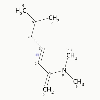 C=C(/C=C/CC(C)C)N(C)C